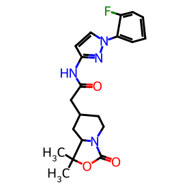 CC1(C)OC(=O)N2CCC(CC(=O)Nc3ccn(-c4ccccc4F)n3)CC21